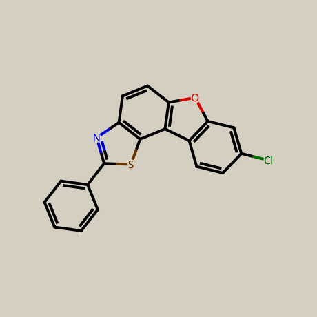 Clc1ccc2c(c1)oc1ccc3nc(-c4ccccc4)sc3c12